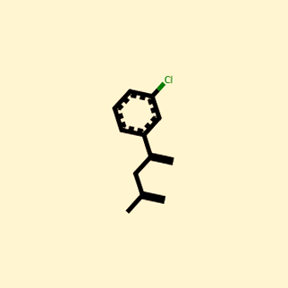 C=C(C)CC(=C)c1cccc(Cl)c1